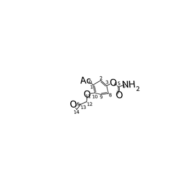 CC(=O)c1cc(OC(N)=O)ccc1OCC1CO1